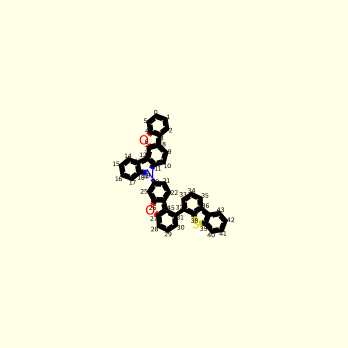 c1ccc2c(c1)oc1c2ccc2c1c1ccccc1n2-c1ccc2c(c1)oc1cccc(-c3cccc4c3sc3ccccc34)c12